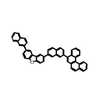 c1ccc2cc(-c3ccc4oc5ccc(-c6ccc7ccc(-c8cc9ccc%10ccccc%10c9c9ccccc89)cc7c6)cc5c4c3)ccc2c1